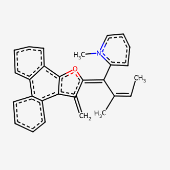 C=c1/c(=C(\C(C)=C/C)c2cccc[n+]2C)oc2c3ccccc3c3ccccc3c12